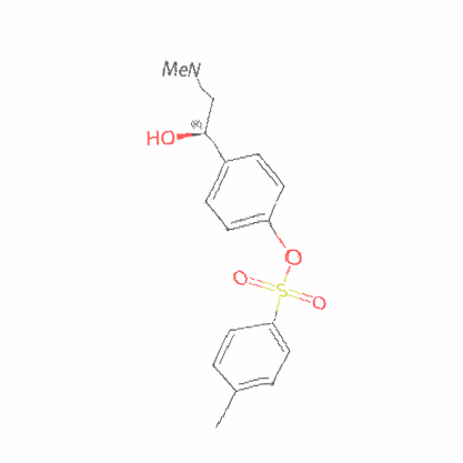 CNC[C@H](O)c1ccc(OS(=O)(=O)c2ccc(C)cc2)cc1